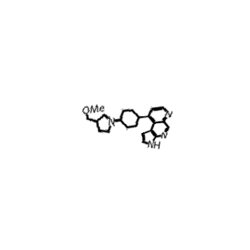 COCC1CCN(C2[CH]CC(c3ccnc4cnc5[nH]ccc5c34)CC2)C1